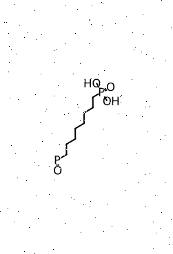 O=PCCCCCCCCP(=O)(O)O